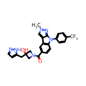 Cn1cc2c3cc(C(=O)N4CC(O)(Cc5ccn[nH]5)C4)ccc3n(-c3ccc(C(F)(F)F)cc3)c2n1